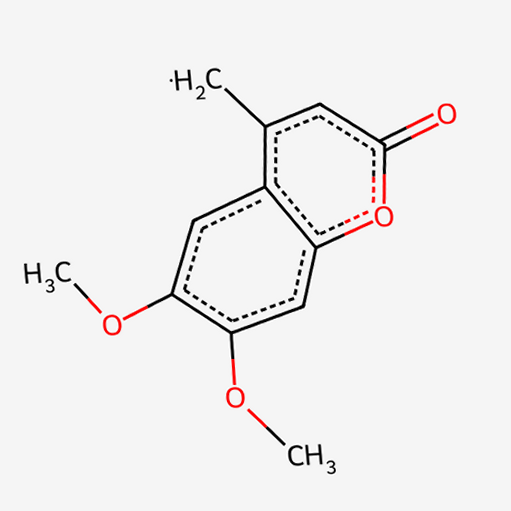 [CH2]c1cc(=O)oc2cc(OC)c(OC)cc12